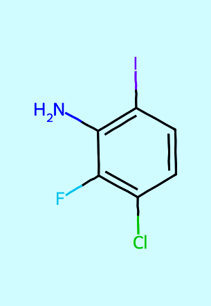 Nc1c(I)ccc(Cl)c1F